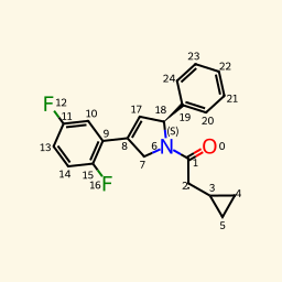 O=C([CH]C1CC1)N1CC(c2cc(F)ccc2F)=C[C@H]1c1ccccc1